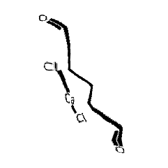 O=CCCCC=O.[Cl][Ca][Cl]